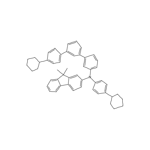 CC1(C)c2ccccc2-c2ccc(N(c3ccc(C4CCCCC4)cc3)c3cccc(-c4cccc(-c5ccc(C6CCCCC6)cc5)c4)c3)cc21